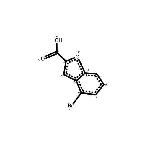 O=C(O)c1cc2c(Br)cccc2o1